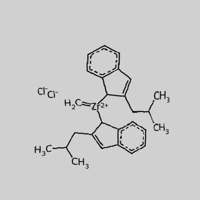 [CH2]=[Zr+2]([CH]1C(CC(C)C)=Cc2ccccc21)[CH]1C(CC(C)C)=Cc2ccccc21.[Cl-].[Cl-]